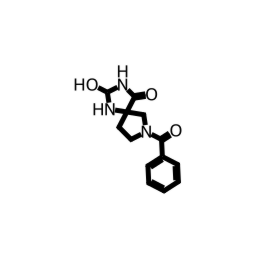 O=C(c1ccccc1)N1CCC2(C1)NC(O)NC2=O